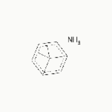 CC1(C)c2cccc1c2.N